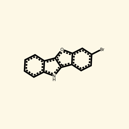 Brc1ccc2c(c1)oc1c3ccccc3[nH]c21